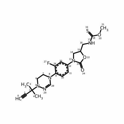 C#CC(C)(C)N1CCN(c2ccc(N3CC(CNC(=S)OC)OC3=O)cc2F)C=N1